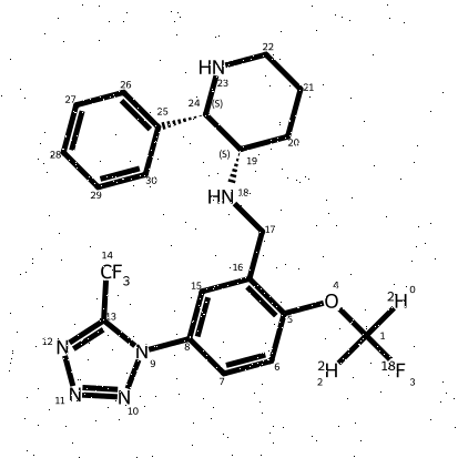 [2H]C([2H])([18F])Oc1ccc(-n2nnnc2C(F)(F)F)cc1CN[C@H]1CCCN[C@H]1c1ccccc1